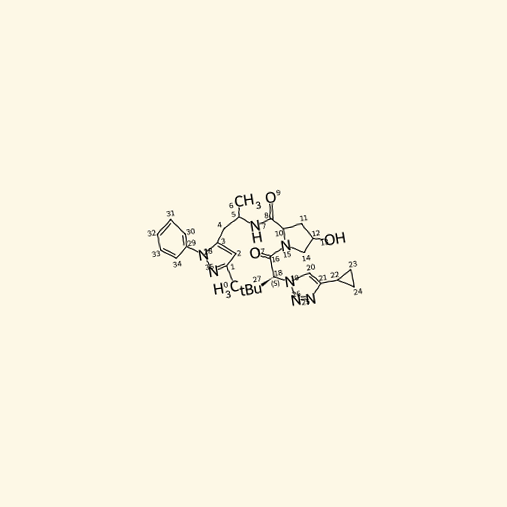 Cc1cc(CC(C)NC(=O)C2CC(O)CN2C(=O)[C@@H](n2cc(C3CC3)nn2)C(C)(C)C)n(-c2ccccc2)n1